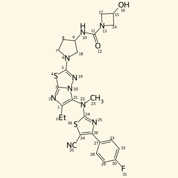 CCc1nc2sc(N3CCC(NC(=O)N4CC(O)C4)C3)nn2c1N(C)c1nc(-c2ccc(F)cc2)c(C#N)s1